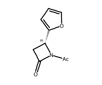 CC(=O)N1C(=O)C[C@@H]1c1ccco1